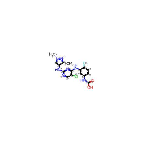 Cc1nn(C)cc1Nc1ncc(Cl)c(Nc2cc(NC(=O)O)ccc2F)n1